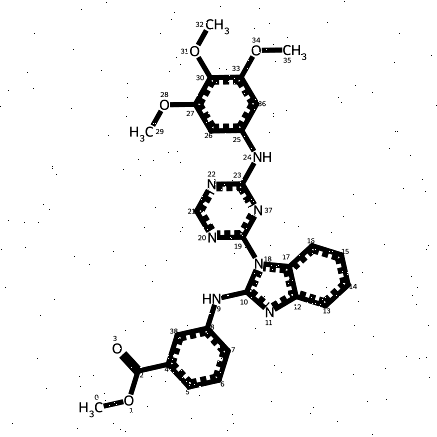 COC(=O)c1cccc(Nc2nc3ccccc3n2-c2ncnc(Nc3cc(OC)c(OC)c(OC)c3)n2)c1